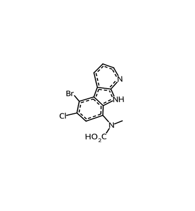 CN(C(=O)O)c1cc(Cl)c(Br)c2c1[nH]c1ncccc12